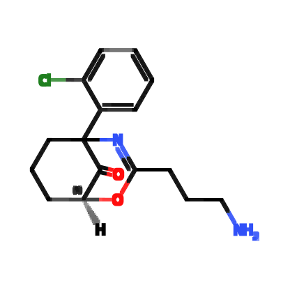 NCCCC1=NC2(c3ccccc3Cl)CCC[C@H](O1)C2=O